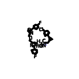 C/C(CC1CC1c1ccc(Cl)cc1)=N\O.Fc1ccc(-c2nc(COCc3coc(-c4ccc(F)cc4)n3)co2)cc1